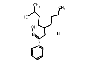 CCCCC(CCC(C)O)CC(=NO)c1ccccc1.[Ni]